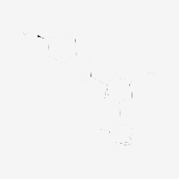 COc1cc(-c2cncn2C)nc(C(=O)N[C@H]2CC[C@H](OC)CC2)n1